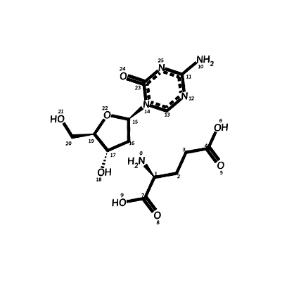 N[C@@H](CCC(=O)O)C(=O)O.Nc1ncn([C@H]2C[C@H](O)[C@@H](CO)O2)c(=O)n1